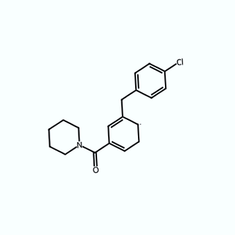 O=C(C1=CC[CH]C(Cc2ccc(Cl)cc2)=C1)N1CCCCC1